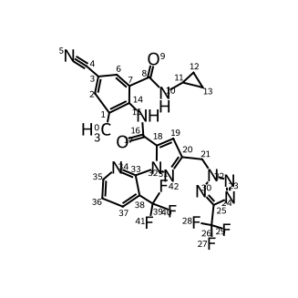 Cc1cc(C#N)cc(C(=O)NC2CC2)c1NC(=O)c1cc(Cn2nnc(C(F)(F)F)n2)nn1-c1ncccc1C(F)(F)F